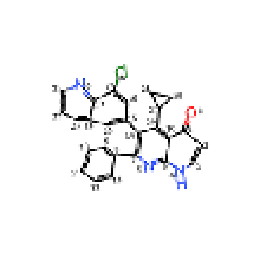 O=c1cc[nH]c2nc(-c3ccccc3)c(-c3cc(Cl)c4ncccc4c3)c(C3CC3)c12